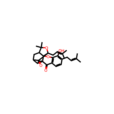 CC(C)=CCc1ccc2c(c1O)OC13C(=CC4CC1C(C)(C)OC3(CC=C(C)C)C4=O)C2=O